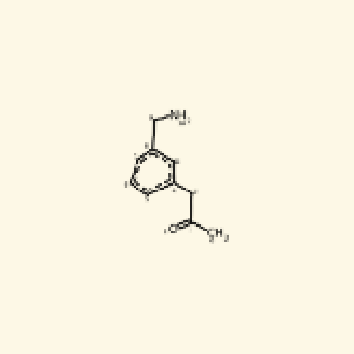 CC(=O)Cc1cccc(CN)c1